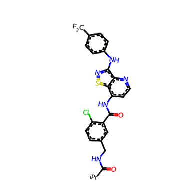 CC(C)C(=O)NCc1ccc(Cl)c(C(=O)Nc2ccnc3c(Nc4ccc(C(F)(F)F)cc4)nsc23)c1